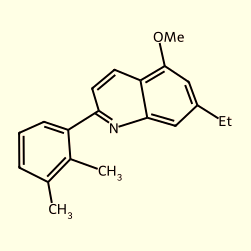 CCc1cc(OC)c2ccc(-c3cccc(C)c3C)nc2c1